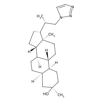 C[C@H](Cn1ccnn1)[C@H]1CC[C@H]2[C@@H]3CC[C@@H]4C[C@](C)(O)CC[C@@H]4[C@H]3CC[C@]12C